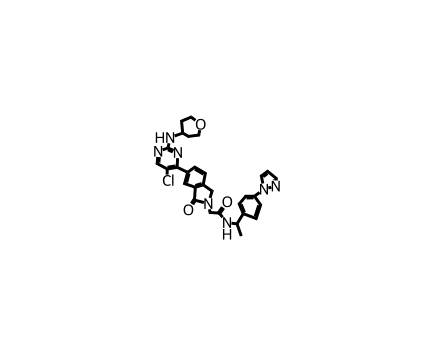 CC(NC(=O)CN1Cc2ccc(-c3nc(NC4CCOCC4)ncc3Cl)cc2C1=O)c1ccc(-n2cccn2)cc1